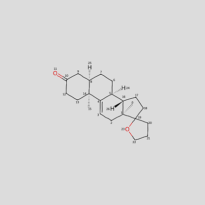 C[C@]12CC=C3[C@@H](CC[C@@H]4CC(=O)CC[C@]34C)[C@@H]1CCC21CCCO1